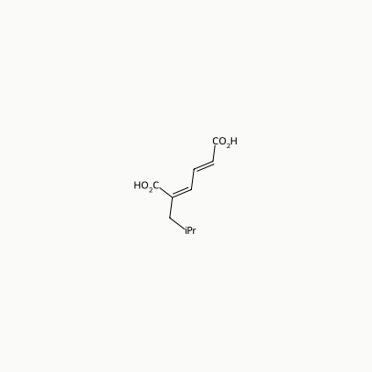 CC(C)CC(=CC=CC(=O)O)C(=O)O